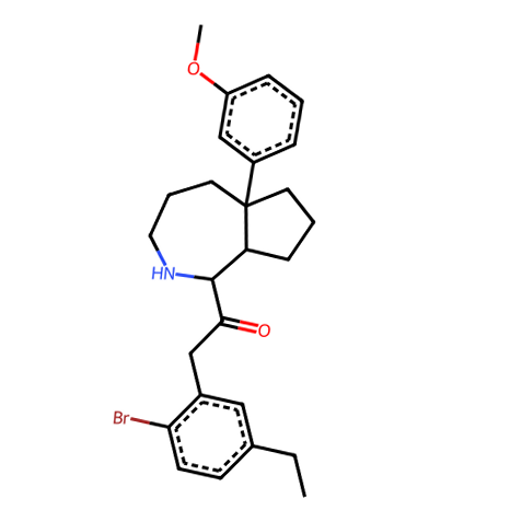 CCc1ccc(Br)c(CC(=O)C2NCCCC3(c4cccc(OC)c4)CCCC23)c1